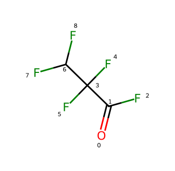 O=C(F)C(F)(F)C(F)F